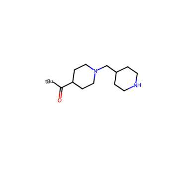 CC(C)(C)C(=O)C1CCN(CC2CCNCC2)CC1